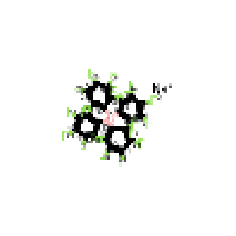 Fc1c(F)c(F)c([B-](c2c(F)c(F)c(F)c(F)c2F)(c2c(F)c(F)c(F)c(F)c2F)c2c(F)c(F)c(F)c(F)c2F)c(F)c1F.[Na+]